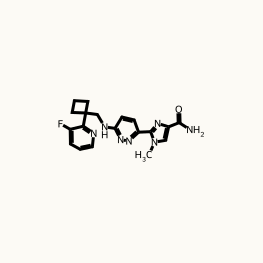 Cn1cc(C(N)=O)nc1-c1ccc(NCC2(c3ncccc3F)CCC2)nn1